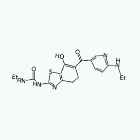 CCNC(=O)Nc1nc2c(s1)C(O)=C(C(=O)c1ccc(NCC)nc1)CC2